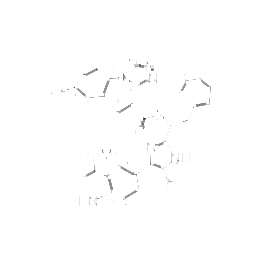 COC(=O)c1cc(-c2nc([C@H](Cc3ccccc3)NC(=O)/C=C/c3cc(Cl)ccc3-n3cnnn3)[nH]c2Cl)ccc1N